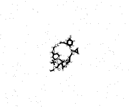 CCOC(=O)[C@@H](OC(C)(C)C)c1c(C)nc2cc3nn2c1N1CCC(C)(CC1)OCCCCCc1cc(F)ccc1CN(C1CC1)C3